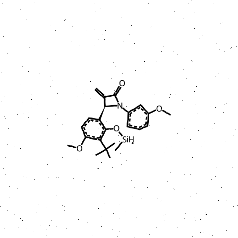 C=C1C(=O)N(c2cccc(OC)c2)[C@H]1c1ccc(OC)c(C(C)(C)C)c1O[SiH](C)C